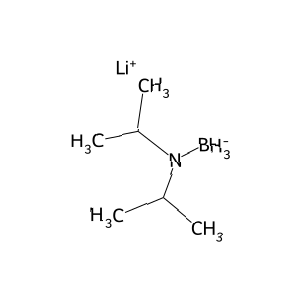 [BH3-]N(C(C)C)C(C)C.[Li+]